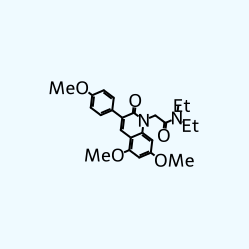 CCN(CC)C(=O)Cn1c(=O)c(-c2ccc(OC)cc2)cc2c(OC)cc(OC)cc21